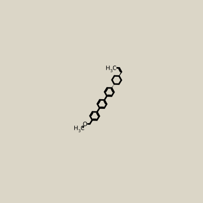 C/C=C\[C@H]1CC[C@H](c2ccc(-c3ccc(-c4ccc(COC)cc4)cc3)cc2)CC1